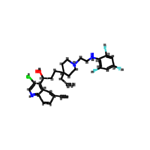 COc1ccc2ncc(Cl)c(C(O)CCC3(CC(=O)O)CCN(CCNc4c(F)cc(F)cc4F)CC3)c2c1